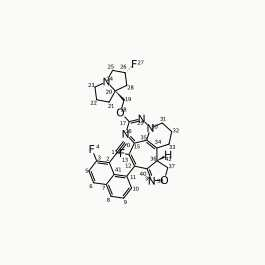 C#Cc1c(F)ccc2cccc(C3=C(F)C4=NC(OC[C@@]56CCCN5C[C@H](F)C6)=NN5CCCC(=C45)[C@@H]4CON=C34)c12